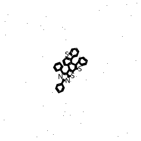 c1ccc(-c2nc(-c3ccccc3)c3c(n2)sc2c4sc5ccccc5c4c4c(ccc5sc6ccccc6c54)c23)cc1